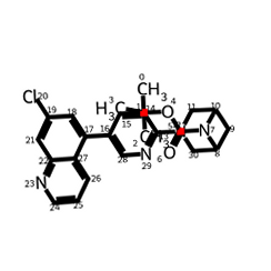 CC(C)(C)OC(=O)N1C2CC1CN(c1ccc(-c3cc(Cl)cc4ncccc34)cn1)C2